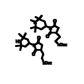 CCCCCCCCCCCCC1CC(=O)N(C2CC(C)(C)N(C)C(C)(C)C2)C1=O.CCCCCCCCCCCCC1CC(=O)N(C2CC(C)(C)NC(C)(C)C2)C1=O